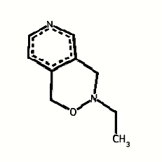 CCN1Cc2cnccc2CO1